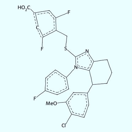 COc1cc(C2CCCc3nc(SCc4c(F)cc(C(=O)O)cc4F)n(-c4ccc(F)cc4)c32)ccc1Cl